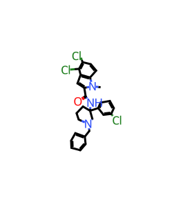 Cn1c(C(=O)NC2(c3cccc(Cl)c3)CCCN(Cc3ccccc3)C2)cc2c(Cl)c(Cl)ccc21